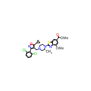 COC(=O)c1cc(OC)c2nc(N3CCN(Cc4c(-c5c(Cl)cccc5Cl)noc4C4CC4)C[C@H]3C)sc2c1